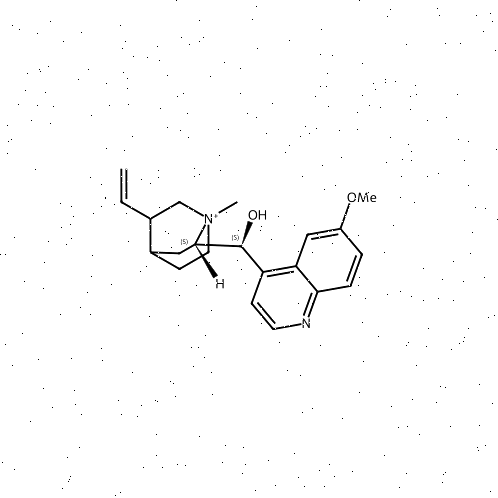 C=CC1C[N+]2(C)CCC1C[C@H]2[C@@H](O)c1ccnc2ccc(OC)cc12